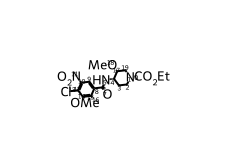 CCOC(=O)N1CC[C@@H](NC(=O)c2cc([N+](=O)[O-])c(Cl)cc2OC)[C@@H](OC)C1